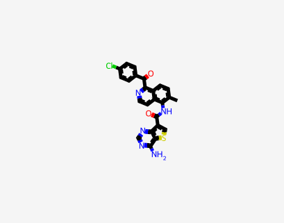 Cc1ccc2c(C(=O)c3ccc(Cl)cc3)nccc2c1NC(=O)c1csc2c(N)ncnc12